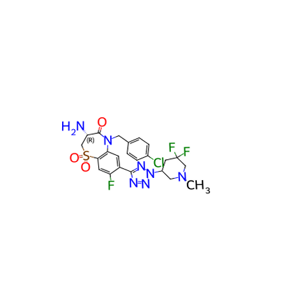 CN1CC(n2nnc(-c3cc4c(cc3F)S(=O)(=O)C[C@H](N)C(=O)N4Cc3ccc(Cl)cc3)n2)CC(F)(F)C1